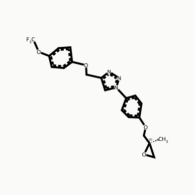 C[C@]1(COc2ccc(-n3cc(COc4ccc(OC(F)(F)F)cc4)nn3)cc2)CO1